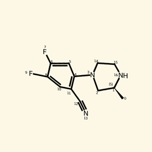 C[C@H]1CN(c2cc(F)c(F)cc2C#N)CCN1